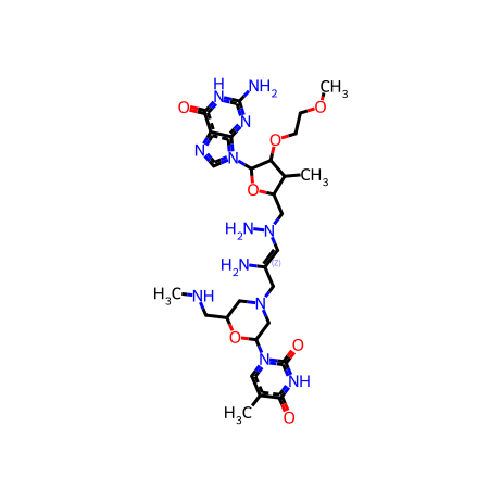 CNCC1CN(C/C(N)=C/N(N)CC2OC(n3cnc4c(=O)[nH]c(N)nc43)C(OCCOC)C2C)CC(n2cc(C)c(=O)[nH]c2=O)O1